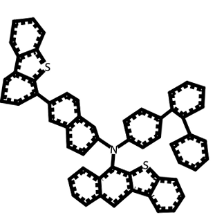 c1ccc(-c2ccccc2-c2ccc(N(c3ccc4cc(-c5cccc6c5sc5ccccc56)ccc4c3)c3c4ccccc4cc4c3sc3ccccc34)cc2)cc1